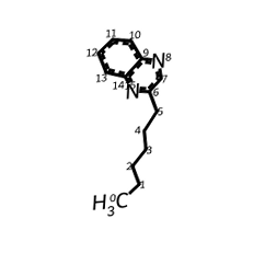 CCCCCCc1cnc2ccccc2n1